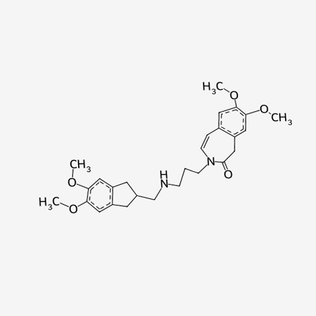 COc1cc2c(cc1OC)CC(=O)N(CCCNCC1Cc3cc(OC)c(OC)cc3C1)C=C2